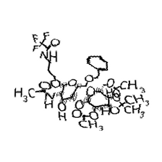 CC(=O)N[C@@H]1[C@@H](OCCCNC(=O)C(F)(F)F)O[C@@H](COCc2ccccc2)[C@H](O[C@@H]2O[C@H](COC(C)=O)[C@@H]3OC(C)(C)O[C@@H]3[C@H]2OC(C)=O)[C@H]1O